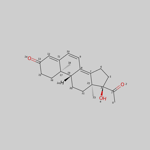 CC(=O)[C@@]1(O)CCC2=C3C=CC4=CC(=O)CC[C@]4(C)[C@H]3CC[C@@]21C